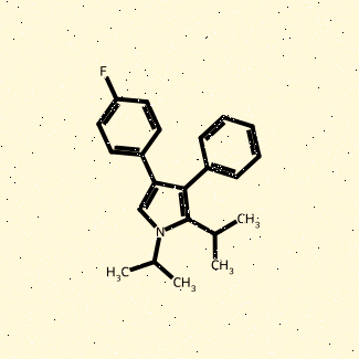 CC(C)c1c(-c2ccccc2)c(-c2ccc(F)cc2)cn1C(C)C